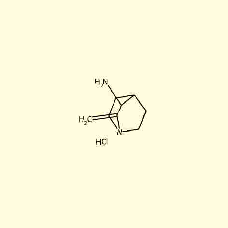 C=C1C(N)C2CCN1CC2.Cl